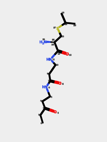 CCC(=O)CCNC(=O)CCNC(=O)[C@@H](N)CSC(C)C